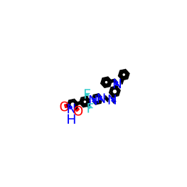 CN(CCN1CCN(c2c(F)cc(C3CCC(=O)NC3=O)cc2F)CC1)C1CCC(N(Cc2ccccc2)Cc2ccccc2)CC1